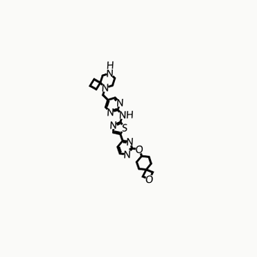 c1cc(-c2cnc(Nc3ncc(CN4CCNCC45CCC5)cn3)s2)nc(OC2CCC3(CC2)COC3)n1